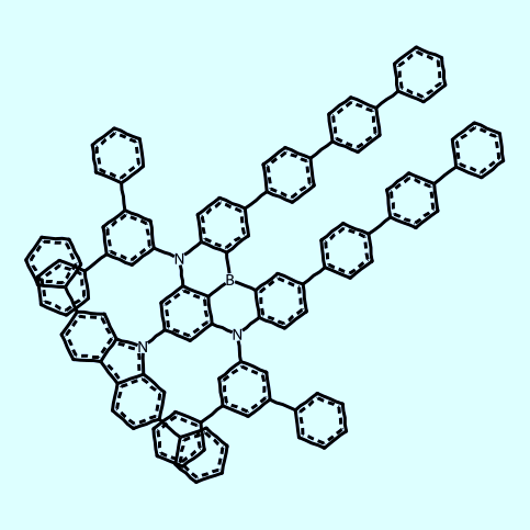 c1ccc(-c2ccc(-c3ccc(-c4ccc5c(c4)B4c6cc(-c7ccc(-c8ccc(-c9ccccc9)cc8)cc7)ccc6N(c6cc(-c7ccccc7)cc(-c7ccccc7)c6)c6cc(-n7c8cc(-c9ccccc9)ccc8c8ccc(-c9ccccc9)cc87)cc(c64)N5c4cc(-c5ccccc5)cc(-c5ccccc5)c4)cc3)cc2)cc1